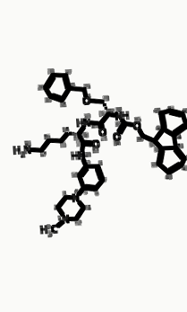 CN1CCN(c2cccc(NC(=O)[C@H](CCCCN)NC(=O)[C@H](COCc3ccccc3)NC(=O)OCC3c4ccccc4-c4ccccc43)c2)CC1